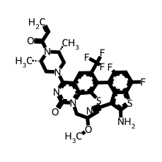 C=CC(=O)N1[C@H](C)CN(c2nc(=O)n3c4c(c(-c5c(F)cc(F)c6sc(N)c(C#N)c56)c(C(F)(F)F)cc24)SCC(OC)C3)C[C@@H]1C